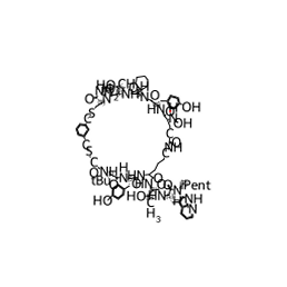 CCC[C@@H](C)NC(=O)[C@H](Cc1c[nH]c2ncccc12)NC(=O)[C@H](NC(=O)C1CCCCNC(=O)CCC(NO)C(=O)N[C@@H](Cc2ccc(O)cc2)C(=O)N[C@@H](C2CCCCC2)C(=O)N[C@@H]([C@@H](C)O)C(=O)N[C@@H](C(N)=O)CSCc2cccc(c2)CSCCC(=O)N[C@@H](C(C)(C)C)C(=O)N[C@@H](Cc2ccc(O)cc2)C(=O)N1)[C@@H](C)O